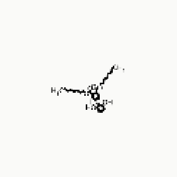 CCCCCCCCOC(=O)c1ccccc1C(=O)OCCCCCCCC.Oc1cccc(O)c1O